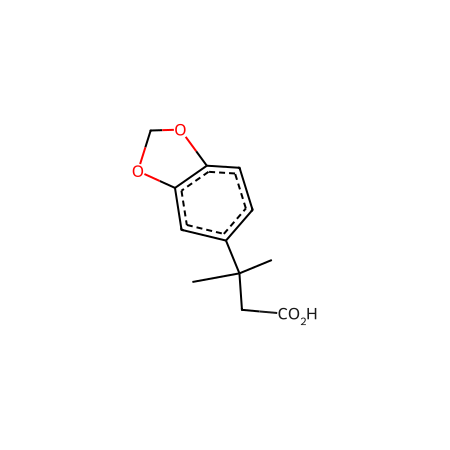 CC(C)(CC(=O)O)c1ccc2c(c1)OCO2